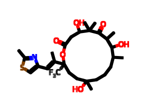 C/C(=C\c1csc(C)n1)C1(C(F)(F)F)CCC(C)(O)CCCC(C)C(O)C(C)C(=O)C(C)(C)C(O)CC(=O)O1